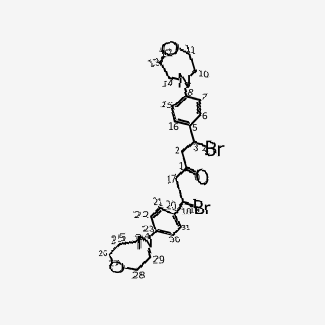 O=C(CC(Br)c1ccc(N2CCOCC2)cc1)CC(Br)c1ccc(N2CCOCC2)cc1